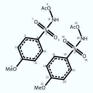 COc1ccc(S(=O)(=O)NOC(C)=O)cc1.COc1ccc(S(=O)(=O)NOC(C)=O)cc1